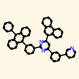 c1ccc(-c2c3ccccc3c(-c3cccc(-c4nc(-c5cccc(-c6cccnc6)c5)cc(-c5cc6ccccc6c6ccccc56)n4)c3)c3ccccc23)cc1